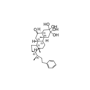 C[C@H](CCc1ccccc1)[C@H]1CC[C@H]2[C@@H]3CC(=O)[C@H]4CC(O)(O)C(O)(O)C[C@]4(C)[C@H]3CC[C@]12C